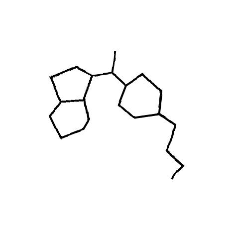 CCCCC1CCC(C(C)C2CCC3CCCCC32)CC1